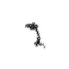 Nc1cn(C2CCC(CCCCCCCNc3cccc4c3C(=O)N(C3CCC(=O)NC3=O)C4=O)CC2)nc1C(F)F